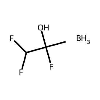 B.CC(O)(F)C(F)F